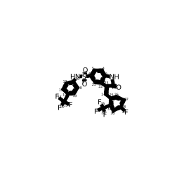 O=C1Nc2ccc(S(=O)(=O)Nc3ccc(C(F)(F)F)cc3)cc2C1=Cc1ccc(F)cc1C(F)(F)F